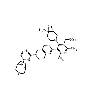 Cc1nc(C)c(-c2ccc3c(c2)CCN(c2nccc(N4C5CCC4COC5)n2)C3)c(N2CCC(C)(C)CC2)c1CC(=O)O